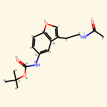 CC(=O)NCCc1coc2ccc(NC(=O)OC(C)(C)C)cc12